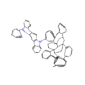 Cc1ccccc1-c1ccccc1C12CCCC34CC(CC5(CC1c1ccccc1-c1ccccc15)C32)c1ccccc1-c1ccc(-n2c3ccccc3c3cc5c(cc32)c2ccccc2n5-c2ccccc2)cc14